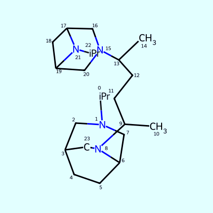 CC(C)N1CC2CCC(C1)N(C(C)CCC(C)N1CC3CC(C1)N3C(C)C)C2